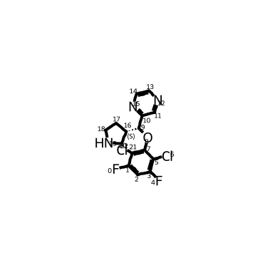 Fc1cc(F)c(Cl)c(OC(c2cnccn2)[C@H]2CCNC2)c1Cl